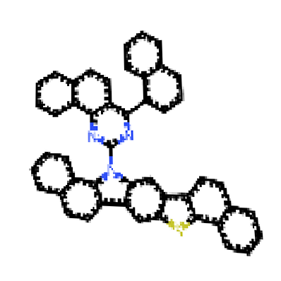 c1ccc2c(-c3nc(-n4c5cc6c(cc5c5ccc7ccccc7c54)sc4c5ccccc5ccc64)nc4c3ccc3ccccc34)cccc2c1